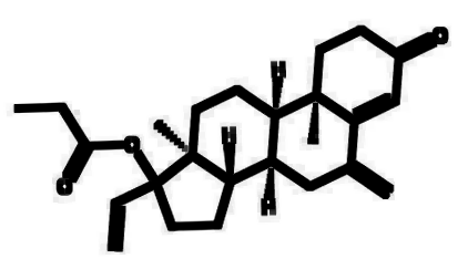 C=CC1(OC(=O)CC)CC[C@H]2[C@@H]3CC(=C)C4=CC(=O)CC[C@]4(C)[C@@H]3CC[C@@]21C